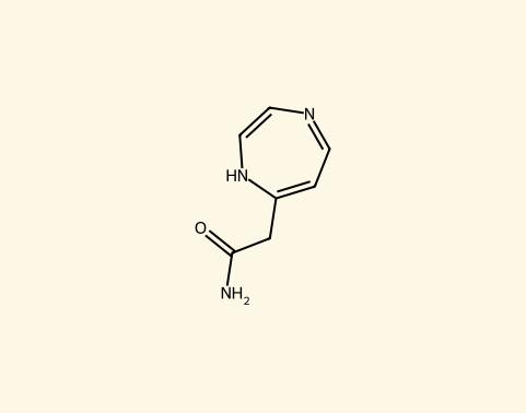 NC(=O)CC1=CC=NC=CN1